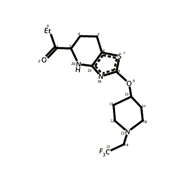 CCC(=O)C1CCc2sc(OC3CCN(CC(F)(F)F)CC3)nc2N1